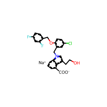 O=C([O-])c1cccc2c1c(CCO)cn2Cc1cc(Cl)ccc1OCc1ccc(F)cc1F.[Na+]